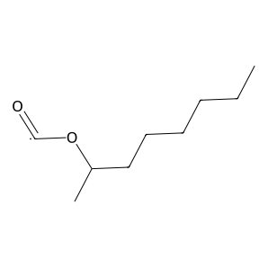 CCCCCCC(C)O[C]=O